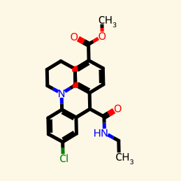 CCNC(=O)C(c1ccc(C(=O)OC)cc1)c1cc(Cl)ccc1N1CCCCC1